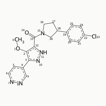 COc1c(-c2ccnnc2)n[nH]c1C(=O)N1CCC(c2ccc(Cl)cc2)C1